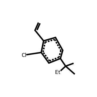 C=Cc1ccc(C(C)(C)CC)cc1Cl